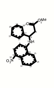 COC(=O)CC(Nc1ccc([N+](=O)[O-])c2ccccc12)c1ccccc1